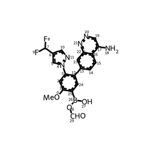 COc1cc(-n2cc(C(F)F)cn2)c(-c2ccc3c(N)cnnc3c2)cc1B(O)OC=O